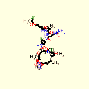 C=C(CBr)C(=O)OCCCCCC(=O)N[C@H](C(=O)N[C@@H](CCCNC(N)=O)C(=O)Nc1ccc(NC(=O)O[C@H]2CC(=O)N(C)c3cc(cc(OC)c3Cl)C/C(C)=C/C=C/[C@@H](OC)[C@@]3(O)C[C@H](OC(=O)N3)[C@@H](C)[C@@H]3O[C@@]23C)cc1Br)C(C)C